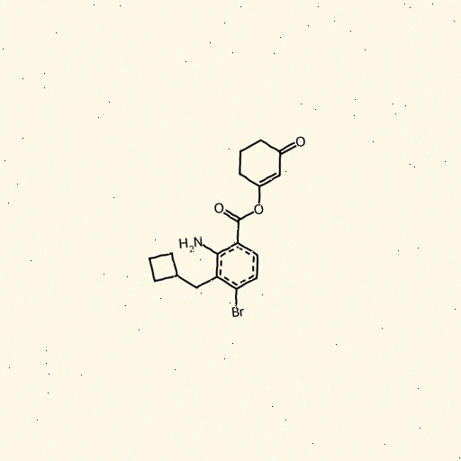 Nc1c(C(=O)OC2=CC(=O)CCC2)ccc(Br)c1CC1CCC1